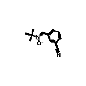 CC(C)(C)/[N+]([O-])=C/c1cccc(C#N)c1